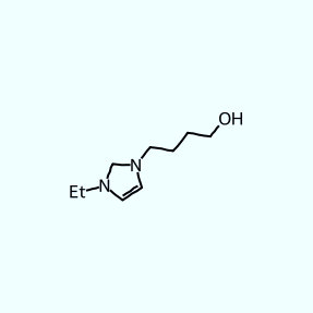 CCN1C=CN(CCCCO)C1